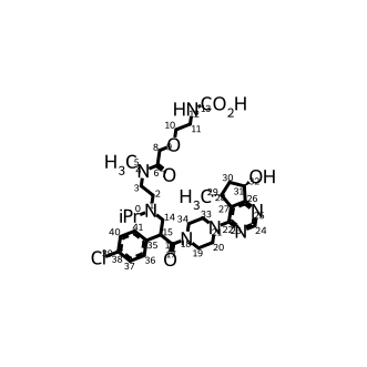 CC(C)N(CCN(C)C(=O)COCCNC(=O)O)CC(C(=O)N1CCN(c2ncnc3c2[C@H](C)C[C@H]3O)CC1)c1ccc(Cl)cc1